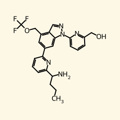 CCCC(N)c1cccc(-c2cc(COC(F)(F)F)c3cnn(-c4cccc(CO)n4)c3c2)n1